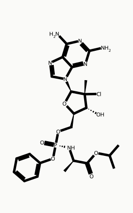 CC(C)OC(=O)[C@@H](C)N[P@](=O)(OC[C@H]1O[C@@H](n2cnc3c(N)nc(N)nc32)[C@](C)(Cl)[C@@H]1O)Oc1ccccc1